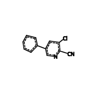 N#Cc1ncc(-c2ccccc2)cc1Cl